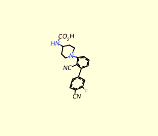 N#Cc1ccc(-c2cccc(N3CCC(NC(=O)O)CC3)c2C#N)cc1F